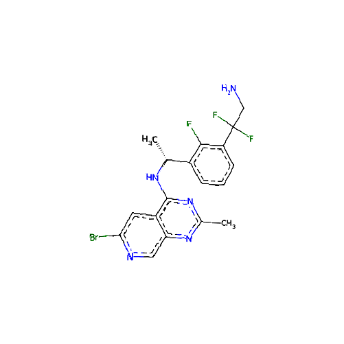 Cc1nc(N[C@H](C)c2cccc(C(F)(F)CN)c2F)c2cc(Br)ncc2n1